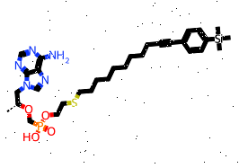 C[C@H](Cn1cnc2c(N)ncnc21)OCP(=O)(O)OCCSCCCCCCCCCC#Cc1ccc([Si](C)(C)C)cc1